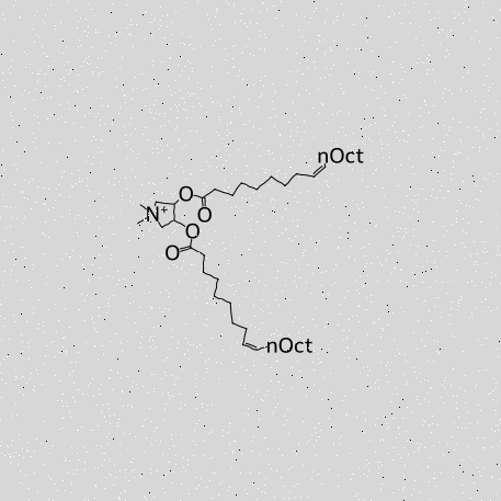 CCCCCCCC/C=C\CCCCCCCC(=O)OC1C[N+](C)(C)CC1OC(=O)CCCCCCC/C=C\CCCCCCCC